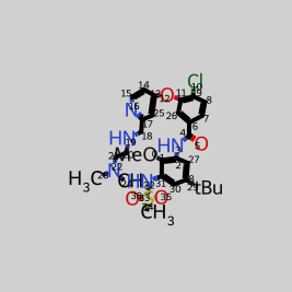 COc1c(NC(=O)c2ccc(Cl)c(Oc3ccnc(CNCCN(C)C)c3)c2)cc(C(C)(C)C)cc1NS(C)(=O)=O